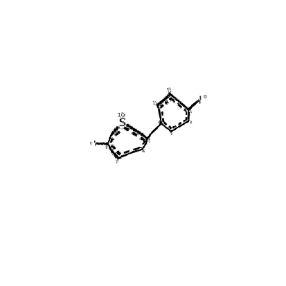 Ic1ccc(-c2ccc(I)s2)cc1